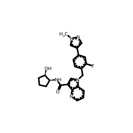 Cn1cc(-c2ccc(Cn3cc(C(=O)N[C@H]4CCC[C@H]4O)c4ncccc43)c(F)c2)cn1